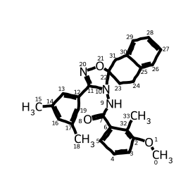 COc1cccc(C(=O)NN2C(c3cc(C)cc(C)c3)=NOC23CCc2ccccc2C3)c1C